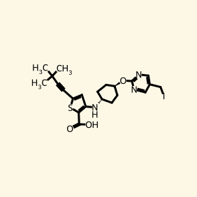 CC(C)(C)C#Cc1cc(N[C@H]2CC[C@H](Oc3ncc(CI)cn3)CC2)c(C(=O)O)s1